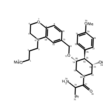 COCCCN1CCOc2ccc(CO[C@H]3CN(C(=O)C(N)C(C)C)C[C@@H](O)[C@@H]3c3ccc(OC)cc3)cc21